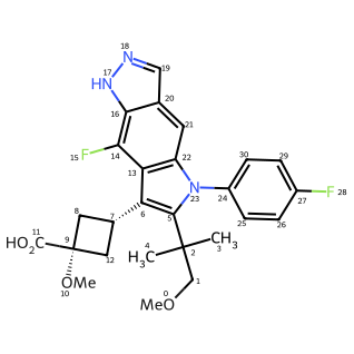 COCC(C)(C)c1c([C@H]2C[C@](OC)(C(=O)O)C2)c2c(F)c3[nH]ncc3cc2n1-c1ccc(F)cc1